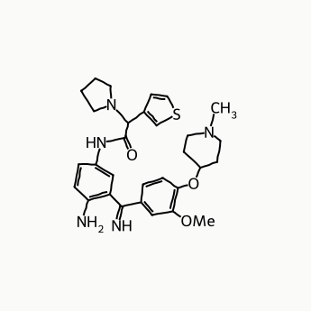 COc1cc(C(=N)c2cc(NC(=O)C(c3ccsc3)N3CCCC3)ccc2N)ccc1OC1CCN(C)CC1